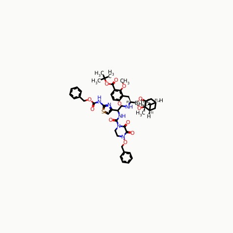 COc1c(C[C@H](NC(=O)C(NC(=O)N2CCN(OCc3ccccc3)C(=O)C2=O)c2csc(NC(=O)OCc3ccccc3)n2)B2OC3C[C@H]4C[C@@H](C4(C)C)[C@]3(C)O2)cccc1C(=O)OC(C)(C)C